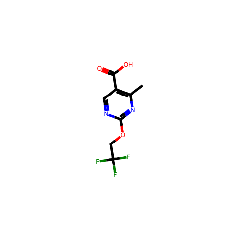 Cc1nc(OCC(F)(F)F)ncc1C(=O)O